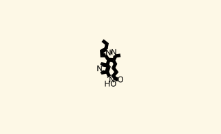 CCc1ccc2c(-c3cncc(C#N)c3)c(CCCCC(=O)O)c(C)nn12